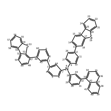 c1cc(-c2cccc(N(c3ccc(-c4ccc5c(c4)sc4ccccc45)cc3)c3cccc(-c4cccc5ccccc45)c3)c2)cc(-c2cccc3c2sc2ccccc23)c1